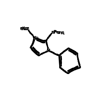 CCCCCCCCC[n+]1ccn(-c2ccccc2)c1CCCCC